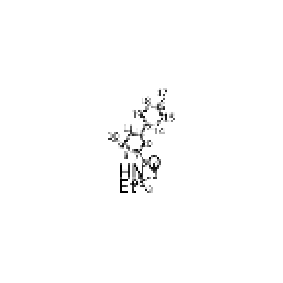 CCC(C)(C)NC(=O)c1cc(C)cc(-c2ccc(C)cc2)c1